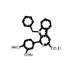 CCOC(=O)c1cc2c3ccccc3n(Cc3ccccc3)c2c(-c2ccc(OC)c(OC)c2)n1